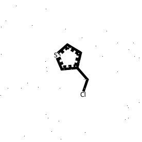 ClCc1ccsc1